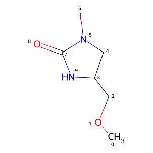 COCC1CN(I)C(=O)N1